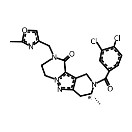 Cc1nc(CN2CCn3nc4c(c3C2=O)CN(C(=O)c2ccc(Cl)c(Cl)c2)[C@H](C)C4)co1